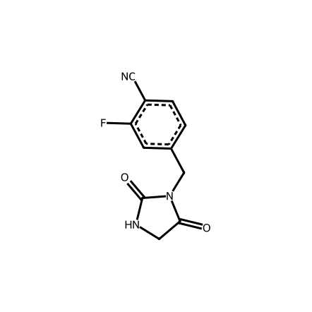 N#Cc1ccc(CN2C(=O)CNC2=O)cc1F